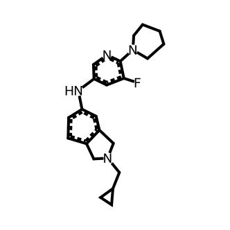 Fc1cc(Nc2ccc3c(c2)CN(CC2CC2)C3)cnc1N1CCCCC1